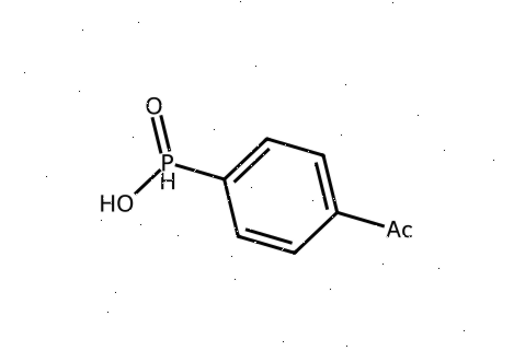 CC(=O)c1ccc([PH](=O)O)cc1